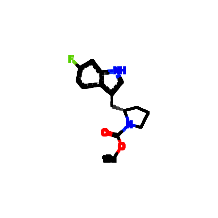 CC(C)(C)OC(=O)N1CCC[C@H]1Cc1c[nH]c2cc(F)ccc12